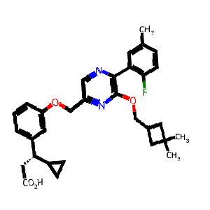 Cc1ccc(F)c(-c2ncc(COc3cccc([C@@H](CC(=O)O)C4CC4)c3)nc2OCC2CC(C)(C)C2)c1